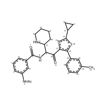 CC(=O)Nc1cccc(C(=O)NC(C(=O)c2nc(C3CC3)sc2-c2cccc(C)c2)C2CCCCN2)c1